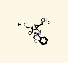 C=CC1CC1(/N=C/c1ccccc1)P(=O)(OCC)OCC